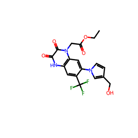 CCOC(=O)Cn1c(=O)c(=O)[nH]c2cc(C(F)(F)F)c(-n3ccc(CO)c3)cc21